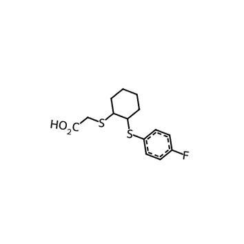 O=C(O)CSC1CCCCC1Sc1ccc(F)cc1